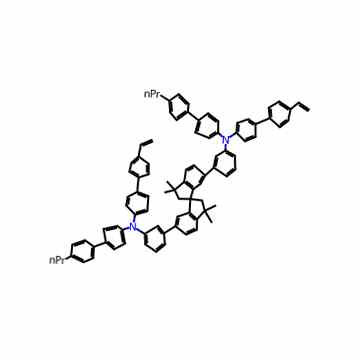 C=Cc1ccc(-c2ccc(N(c3ccc(-c4ccc(CCC)cc4)cc3)c3cccc(-c4ccc5c(c4)C4(CC5(C)C)CC(C)(C)c5ccc(-c6cccc(N(c7ccc(-c8ccc(C=C)cc8)cc7)c7ccc(-c8ccc(CCC)cc8)cc7)c6)cc54)c3)cc2)cc1